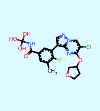 Cc1cc(C(=O)NC(O)(O)O)cc(-c2cnn3cc(Cl)c(OC4CCOC4)nc23)c1F